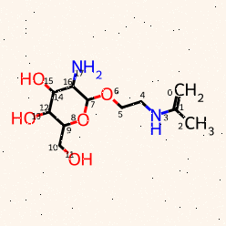 C=C(C)NCCOC1OC(CO)C(O)C(O)C1N